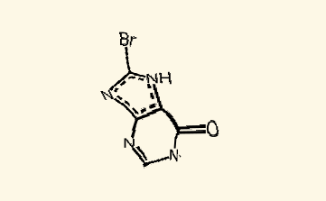 O=C1[N]C=Nc2nc(Br)[nH]c21